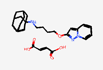 O=C(O)C=CC(=O)O.c1ccn2nc(OCCCCNC34CC5CC(CC(C5)C3)C4)cc2c1